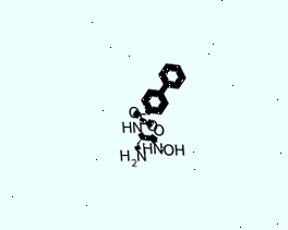 NC[C@H](NS(=O)(=O)c1ccc(-c2ccccc2)cc1)C(=O)NO